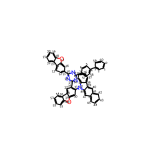 c1ccc(-c2ccc(-c3nc(-c4ccc5c(c4)oc4ccccc45)nc(-c4cc5c(cc4-n4c6ccccc6c6cc7ccccc7cc64)oc4ccccc45)n3)cc2)cc1